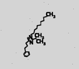 CCCCCCCCCCCn1cc(CCCc2ccccc2)nc1C(C)C